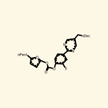 CCCCCCCCCCCc1cnc(-c2ccc(OC(=O)Oc3ccc(CCCCC)o3)c(F)c2)nc1